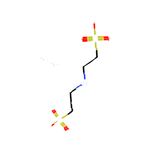 O=S(=O)([O-])CCNCCS(=O)(=O)[O-].[Na+].[Na+]